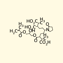 C=C(C)C(=O)OCC(O)COC(=O)C(CCC(CCC(C(=O)O)C(C)C(=O)O)N1CCCC1=O)C(C)C(=O)O